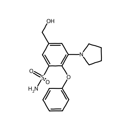 NS(=O)(=O)c1cc(CO)cc(N2CCCC2)c1Oc1ccccc1